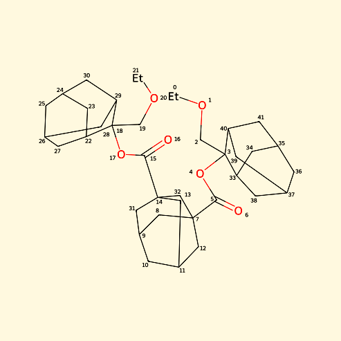 CCOCC1(OC(=O)C23CC4CC(C2)CC(C(=O)OC2(COCC)C5CC6CC(C5)CC2C6)(C4)C3)C2CC3CC(C2)CC1C3